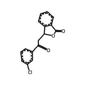 O=C(CC1OC(=O)c2ccccc21)c1cccc(Cl)c1